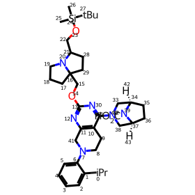 CC(C)c1ccccc1N1CCc2c(nc(OCC34CCCN3C(CO[Si](C)(C)C(C)(C)C)CC4)nc2N2C[C@H]3CC[C@@H](C2)N3C(=O)O)C1